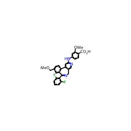 COCc1ccc2c(c1)C(c1c(F)cccc1F)=NCc1cnc(Nc3ccc(C(=O)O)c(OC)c3)cc1-2